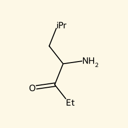 CCC(=O)C(N)CC(C)C